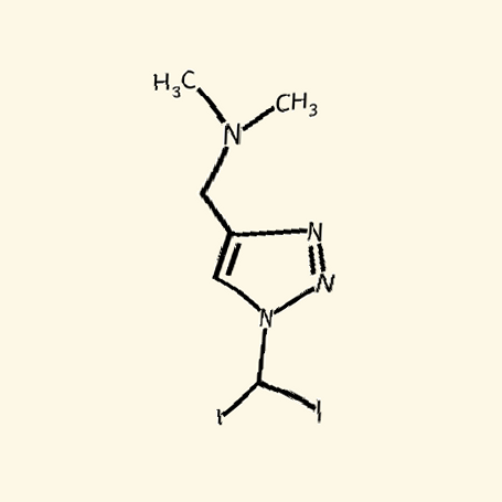 CN(C)Cc1cn(C(I)I)nn1